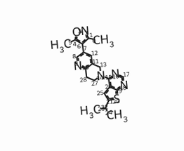 Cc1noc(C)c1-c1cnc2c(c1)CN(c1ncnc3sc(C(C)C)cc13)CC2